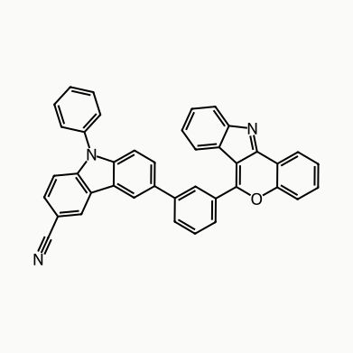 N#Cc1ccc2c(c1)c1cc(-c3cccc(-c4oc5ccccc5c5nc6ccccc6c4-5)c3)ccc1n2-c1ccccc1